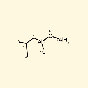 CC(C)[CH2][Al]([Cl])[O][AlH2]